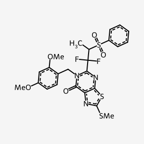 COc1ccc(Cn2c(C(F)(F)C(C)S(=O)(=O)c3ccccc3)nc3sc(SC)nc3c2=O)c(OC)c1